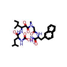 CCC(C)C(NC(=O)C(CC(C)C)NC(=O)O)C(=O)C(=O)N(C)CC(=O)NC(Cc1ccc2ccccc2c1)C(N)=O